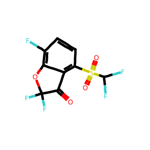 O=C1c2c(S(=O)(=O)C(F)F)ccc(F)c2OC1(F)F